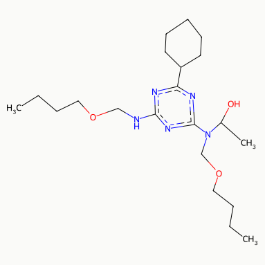 CCCCOCNc1nc(C2CCCCC2)nc(N(COCCCC)C(C)O)n1